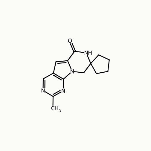 Cc1ncc2cc3n(c2n1)CC1(CCCC1)NC3=O